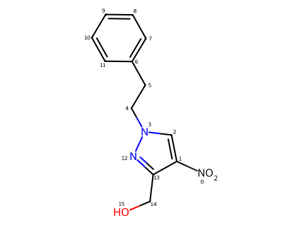 O=[N+]([O-])c1cn(CCc2ccccc2)nc1CO